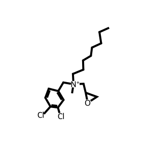 CCCCCCCC[N+](C)(Cc1ccc(Cl)c(Cl)c1)CC1CO1